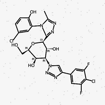 Cc1nnc([C@@H]2O[C@H](CO)[C@H](O)[C@H](n3cc(-c4cc(F)c(Cl)c(F)c4)nn3)[C@H]2O)n1-c1cc(Cl)ccc1O